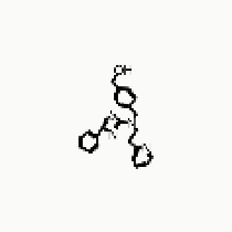 OCc1ccc(CN(CCc2ccccn2)c2nc(-c3ccccc3)cs2)cc1